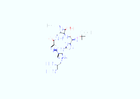 C[n+]1cc(-c2ncc(C(=O)NC[C@@H]3[C@H](NC(O)/C(=N\OC(C)(C)C(=O)O)c4nsc(N)n4)C(=O)N3S(=O)(=O)O)s2)cn1CC(N)CN